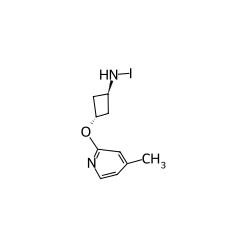 Cc1ccnc(O[C@H]2C[C@H](NI)C2)c1